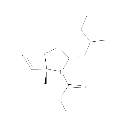 CCC(C)C[C@H]1OC[C@@](C)(C=O)N1C(=O)OC